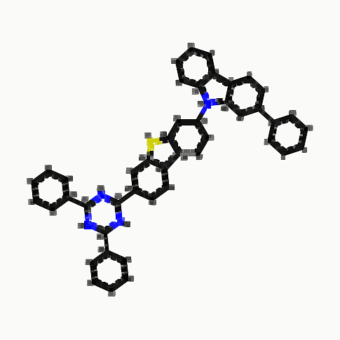 c1ccc(-c2ccc3c4ccccc4n(-c4ccc5c(c4)sc4cc(-c6nc(-c7ccccc7)nc(-c7ccccc7)n6)ccc45)c3c2)cc1